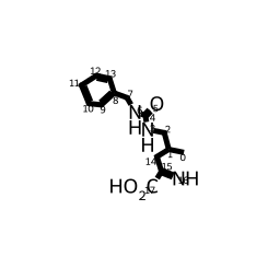 CC(CNC(=O)NCc1ccccc1)CC(=N)C(=O)O